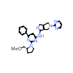 COC[C@@H]1CCCN1c1nc(NC2=NCC3=C2CN(c2ncccn2)C3)cc(-c2ccccc2)n1